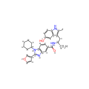 Cc1[nH]c2ccc(O)cc2c1CC(NC(=O)c1ccc2c(c1)nc(-c1ccoc1)n2C1CCCCC1)C(=O)O